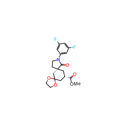 COC(=O)[C@@H]1CC2(C[C@@]3(CCN(c4cc(F)cc(F)c4)C3=O)C1)OCCO2